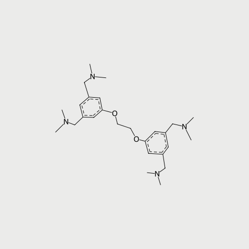 CN(C)Cc1cc(CN(C)C)cc(OCCOc2cc(CN(C)C)cc(CN(C)C)c2)c1